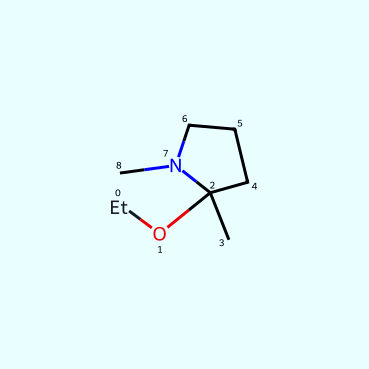 CCOC1(C)CCCN1C